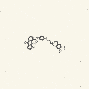 COc1cc2c(cc1OC)CN(CCCSc1ccc(NC(=O)c3cccc4c(=O)c5cccc(F)c5[nH]c34)cc1)CC2